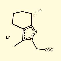 Cc1c2c(nn1CC(=O)[O-])[C@@H](C)CCC2.[Li+]